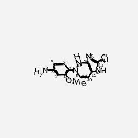 COc1cc(N)ccc1N1C=Cc2[nH]c(Cl)nc2N1